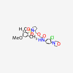 COc1cc(C)c(S(=O)(=O)N2CCCC2COCC(=O)Nc2ccc(N3CCOCC3)c(Cl)c2)c(C)c1